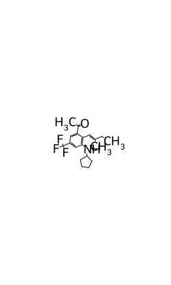 CC/C(C)=C/c1c(NC2CCCC2)cc(C(F)(F)F)cc1C(C)=O